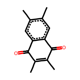 CC1=C(C)C(=O)c2cc(C)c(C)cc2C1=O